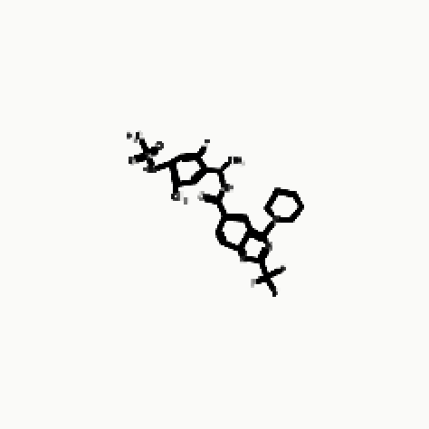 Cc1cc([C@@H](C)NC(=O)c2ccc3nc(C(F)(F)F)nc(N4CCCCC4)c3c2)c(F)cc1NS(C)(=O)=O